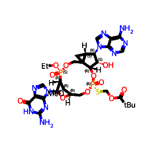 CCO[P@]1(=O)OCC23C[C@@H]2[C@@H](n2cnc4c(N)ncnc42)[C@H](O)[C@@H]3O[P@](=O)(SCOC(=O)C(C)(C)C)OC[C@H]2O[C@@H](n3cnc4c(=O)[nH]c(N)nc43)[C@H]1[C@@H]2OC